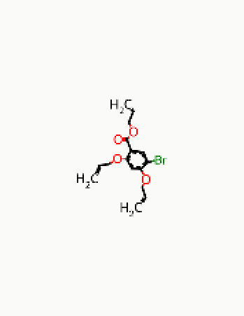 C=CCOC(=O)c1cc(Br)c(OCC=C)cc1OCC=C